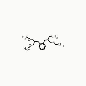 CCCCC(CC)Cc1ccccc1CC(COC)COC